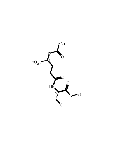 CCCCC(=O)N[C@@H](CCC(=O)N[C@@H](CO)C(=O)NCC)C(=O)O